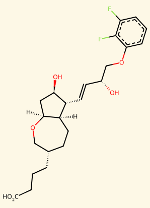 O=C(O)CCC[C@H]1CC[C@@H]2[C@@H](C=C[C@@H](O)COc3cccc(F)c3F)[C@H](O)C[C@@H]2OC1